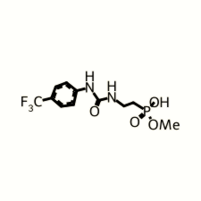 COP(=O)(O)CCNC(=O)Nc1ccc(C(F)(F)F)cc1